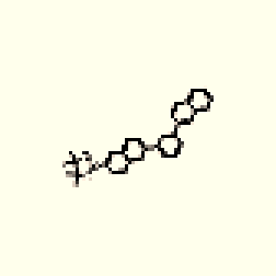 CC1(C)OB(c2ccc3cc(-c4cccc(-c5ccc6ccccc6c5)c4)ccc3c2)OC1(C)C